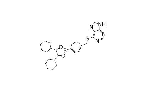 c1nc(SCc2ccc(B3OC(C4CCCCC4)C(C4CCCCC4)O3)cc2)c2nc[nH]c2n1